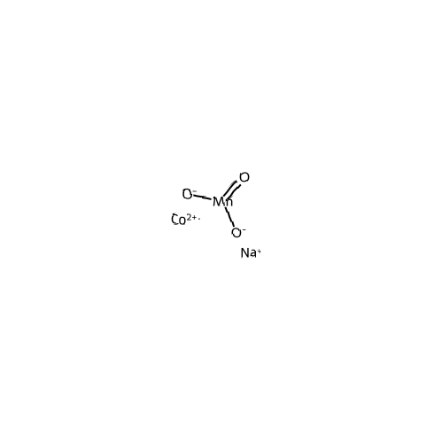 [Co+2].[Na+].[O]=[Mn]([O-])[O-]